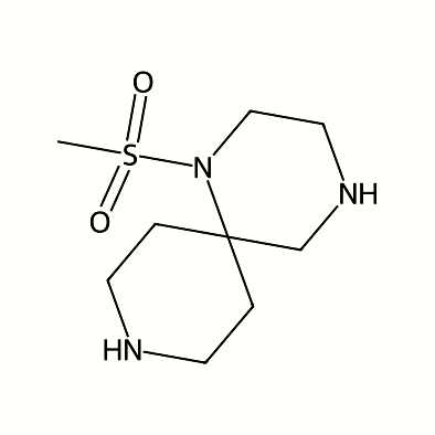 CS(=O)(=O)N1CCNCC12CCNCC2